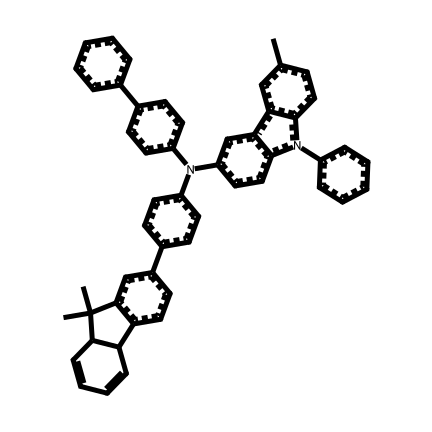 Cc1ccc2c(c1)c1cc(N(c3ccc(-c4ccccc4)cc3)c3ccc(-c4ccc5c(c4)C(C)(C)C4C=CC=CC54)cc3)ccc1n2-c1ccccc1